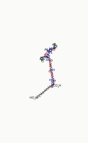 CC(=O)c1nn(CC(=O)N2C[C@@H](CNC(=O)COCCOCCNC(=O)COCCOCCNC(=O)CC[C@H](NC(=O)CCCCCCCCCCCCCCCCC(=O)O)C(=O)O)C[C@H]2C(=O)NCc2cccc(Cl)c2F)c2c(C)cc(NC(=O)N3CCCC(F)(F)C3)cc12